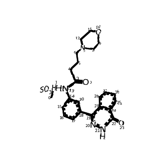 CS(=O)(=O)O.O=C(CCCN1CCOCC1)Nc1cccc(-c2n[nH]c(=O)c3ccccc23)c1